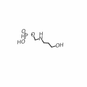 O=[PH](O)OCNCCCO